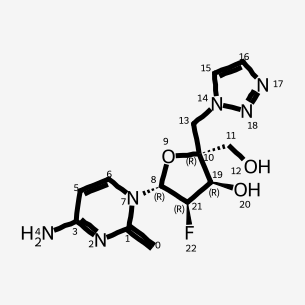 C=C1N=C(N)C=CN1[C@@H]1O[C@@](CO)(Cn2ccnn2)[C@@H](O)[C@H]1F